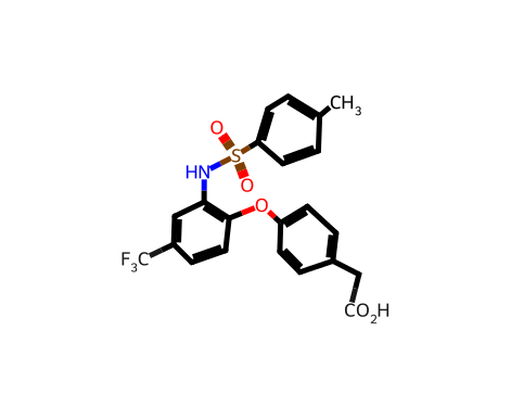 Cc1ccc(S(=O)(=O)Nc2cc(C(F)(F)F)ccc2Oc2ccc(CC(=O)O)cc2)cc1